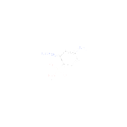 [N-]=[N+]=C1C=C(N)C=CC1S(=O)(=O)O